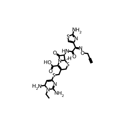 C#CCO/N=C(\C(=O)N[C@@H]1C(=O)N2C(C(=O)O)=C(CSC3=CC(N)N(CC)C(N)=N3)CS[C@H]12)c1csc(N)n1